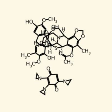 COc1cc2c(cc1O)CCN[C@]21CS[C@@H]2c3c(OC(C)=O)c(C)c4c(c3[C@H](COC1=O)N1[C@@H]2[C@H]2c3c(cc(C)c(OC)c3O)C[C@@H]([C@@H]1O)N2C)OCO4.O=C1C=C(N2CC2)C(=O)C(N2CC2)=C1N1CC1